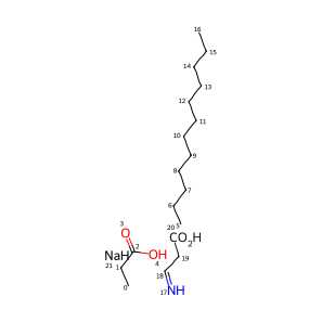 CCC(=O)O.CCCCCCCCCCCC.N=CCC(=O)O.[NaH]